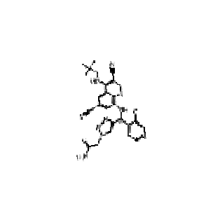 CC(C)(C)CNc1c(C#N)cnc2c(N[C@H](c3cn(CC(N)=O)nn3)c3ccccc3Cl)cc(C#N)cc12